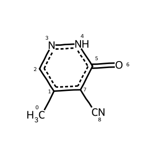 Cc1cn[nH]c(=O)c1C#N